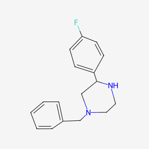 Fc1ccc(C2CN(Cc3ccccc3)CCN2)cc1